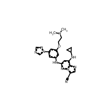 CN(C)CCOc1cc(Nc2cc(NC3CC3)c3ncc(C#N)n3n2)cc(-n2cncn2)c1